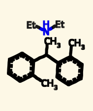 CCNCC.Cc1ccccc1C(C)c1ccccc1C